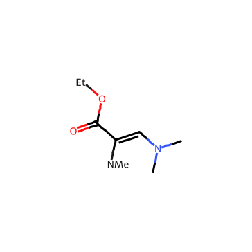 CCOC(=O)/C(=C/N(C)C)NC